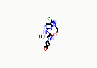 Cc1c2c(nn1C1CC3(COC3)C1)OCCCn1nc(Cl)c3cnc(nc31)N2